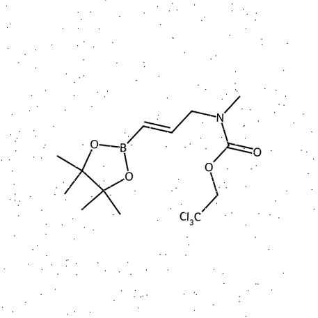 CN(CC=CB1OC(C)(C)C(C)(C)O1)C(=O)OCC(Cl)(Cl)Cl